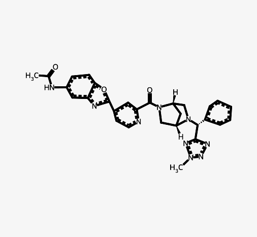 CC(=O)Nc1ccc2oc(-c3ccnc(C(=O)N4C[C@@H]5C[C@H]4CN5[C@H](c4ccccc4)c4nnn(C)n4)c3)nc2c1